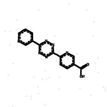 O=C(O)c1ccc(-c2nnc(-c3cccnc3)nn2)nc1